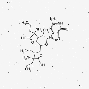 CCCC(N)(C(=O)O)C(CC)CC(CC(CC)C(N)(CCC)C(=O)O)OCn1cnc2c(=O)[nH]c(N)nc21